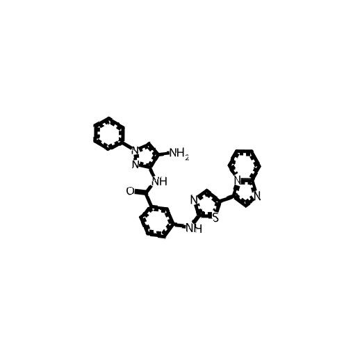 Nc1cn(-c2ccccc2)nc1NC(=O)c1cccc(Nc2ncc(-c3cnc4ccccn34)s2)c1